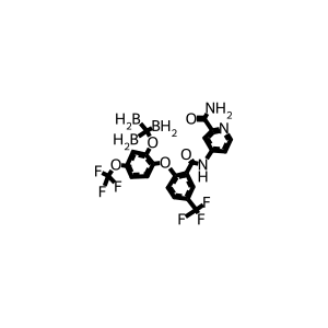 BC(B)(B)Oc1cc(OC(F)(F)F)ccc1Oc1ccc(C(F)(F)F)cc1C(=O)Nc1ccnc(C(N)=O)c1